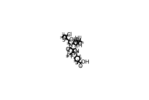 CC1(C(=O)O)CCC(n2ncc(C(=O)N(CC(O)c3sccc3Cl)[C@H]3C[C@@H]4[C@H](C3)C4(C)C)c2C(F)(F)F)CC1